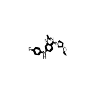 CCO[C@H]1CCN(c2nc(C)nc3cc(Nc4ccc(F)cc4)ccc23)C1